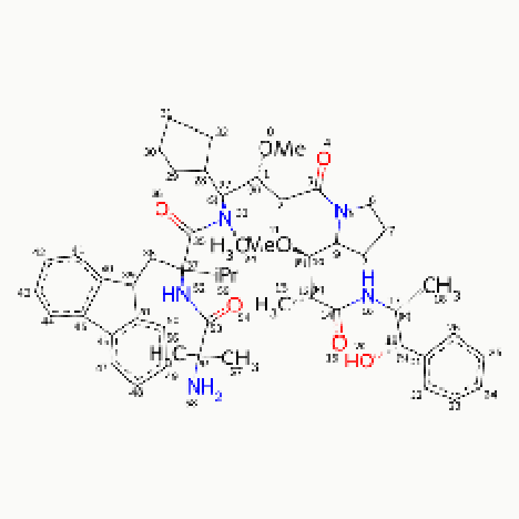 CO[C@H](CC(=O)N1CCCC1[C@H](OC)[C@@H](C)C(=O)N[C@H](C)[C@@H](O)c1ccccc1)[C@H](C1CCCC1)N(C)C(=O)C(CC1c2ccccc2-c2ccccc21)(NC(=O)C(C)(C)N)C(C)C